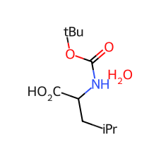 CC(C)CC(NC(=O)OC(C)(C)C)C(=O)O.O